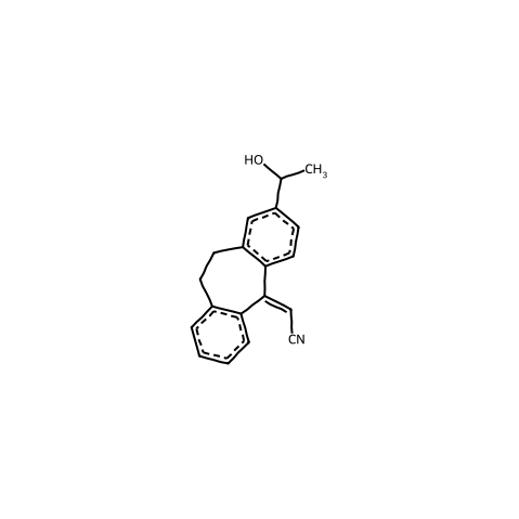 CC(O)c1ccc2c(c1)CCc1ccccc1C2=CC#N